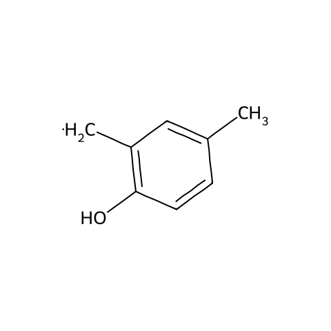 [CH2]c1cc(C)ccc1O